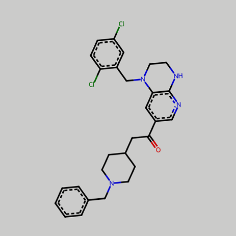 O=C(CC1CCN(Cc2ccccc2)CC1)c1cnc2c(c1)N(Cc1cc(Cl)ccc1Cl)CCN2